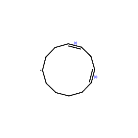 [CH]1CC/C=C\C/C=C\CCCC1